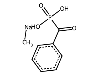 O=C(c1ccccc1)P(=O)(O)O.[CH3][Na]